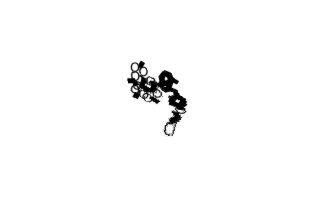 CC(=O)OC[C@H]1O[C@@H](n2cc(Cc3ccc(OCCCCl)cc3)c3c(C)cccc32)[C@H](OC(C)=O)[C@@H](OC(C)=O)[C@@H]1OC(C)=O